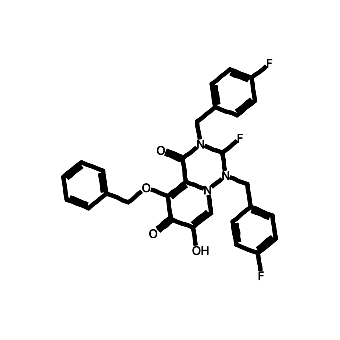 O=C1c2c(OCc3ccccc3)c(=O)c(O)cn2N(Cc2ccc(F)cc2)C(F)N1Cc1ccc(F)cc1